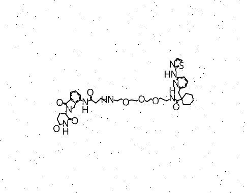 O=C1CCC(N2Cc3c(NC(=O)CCCNCCOCCOCCOCCNC(=O)C4(Cc5cccc(Nc6nccs6)n5)CCCCC4)cccc3C2=O)C(=O)N1